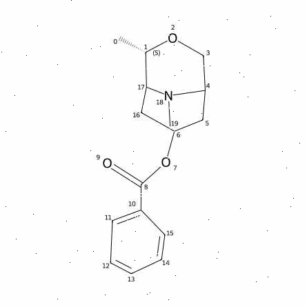 C[C@@H]1OCC2CC(OC(=O)c3ccccc3)CC1N2C